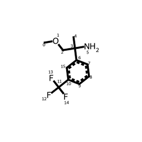 COCC(C)(N)c1cccc(C(F)(F)F)c1